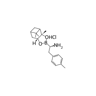 Cc1ccc(C[C@H](N)B2O[C@@H]3CC4CC(C4(C)C)[C@]3(C)O2)cc1.Cl